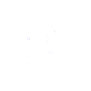 COc1ccc(-c2cc(C(=O)N[C@@H](CO)Cc3c[nH]c4ccccc34)cc(C)n2)cc1F